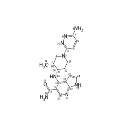 C[C@@H]1CN(c2ccc(N)nn2)CC[C@@H]1Nc1c(C(N)=O)nnc2[nH]ccc12